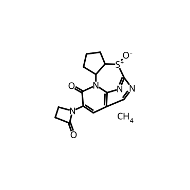 C.O=C1CCN1c1cc2cnc3nc2n(c1=O)C1CCCC1[S+]3[O-]